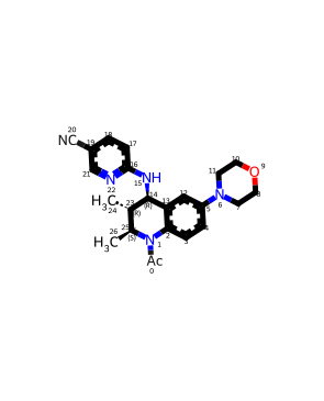 CC(=O)N1c2ccc(N3CCOCC3)cc2[C@H](Nc2ccc(C#N)cn2)[C@@H](C)[C@@H]1C